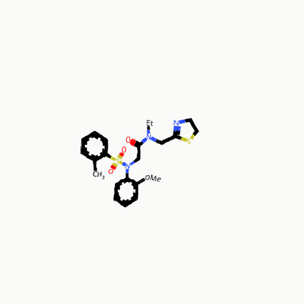 CCN(CC1=NCCS1)C(=O)CN(c1ccccc1OC)S(=O)(=O)c1ccccc1C